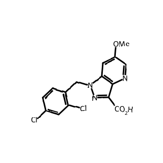 COc1cnc2c(C(=O)O)nn(Cc3ccc(Cl)cc3Cl)c2c1